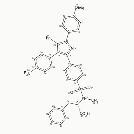 COc1ccc(-c2nn(-c3ccc(S(=O)(=O)N(C)[C@@H](Cc4ccccc4)C(=O)O)cc3)c(-c3ccc(C(F)(F)F)cc3)c2Br)cc1